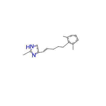 Cc1nc(C=CCCCc2c(C)cccc2C)c[nH]1